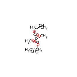 CCOC(=O)c1cc(-c2ccc(OCCC(C)CCCC(C)C)cc2)c(C(=O)OCC)cc1-c1ccc(OCCC(C)CCCC(C)C)cc1